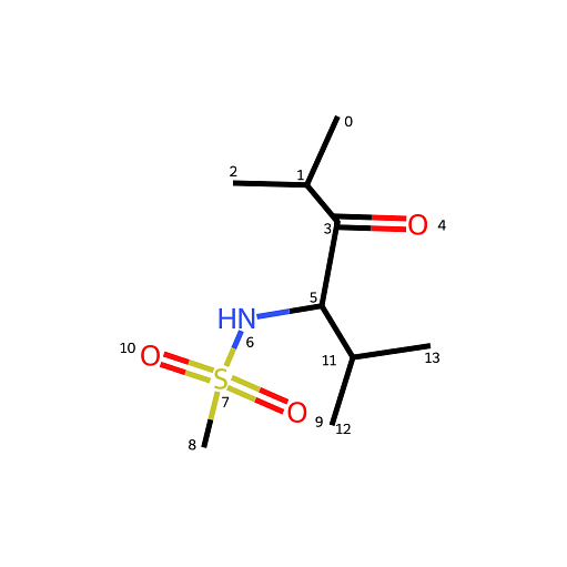 CC(C)C(=O)C(NS(C)(=O)=O)C(C)C